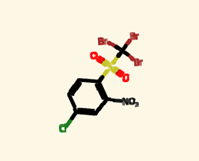 O=[N+]([O-])c1cc(Cl)ccc1S(=O)(=O)C(Br)(Br)Br